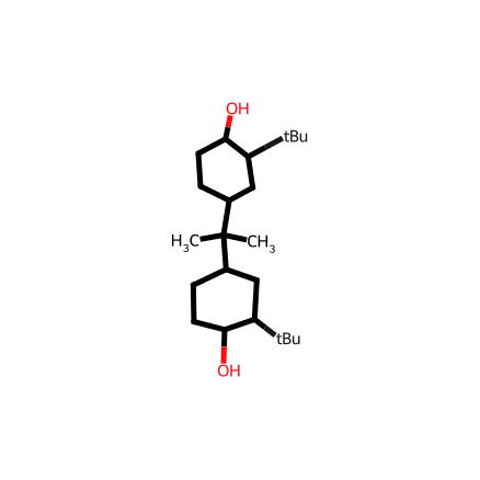 CC(C)(C)C1CC(C(C)(C)C2CCC(O)C(C(C)(C)C)C2)CCC1O